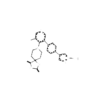 Cn1cc(-c2ccc(-c3cncc(Cl)c3N3CCC4(CC3)NC(=O)NC4=O)cc2)cn1